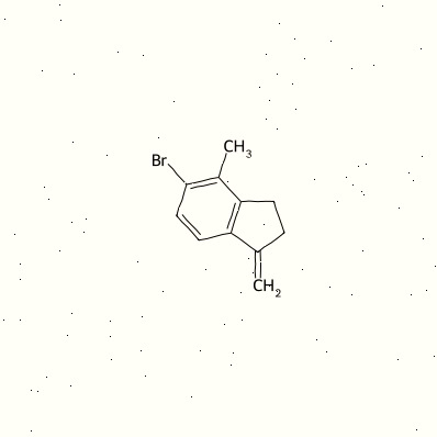 C=C1CCc2c1ccc(Br)c2C